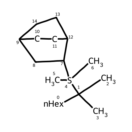 CCCCCCC(C)(C)S(C)(C)C1CC2CCC1CC2